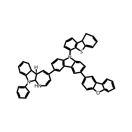 C1=CCC2C(=C1)Sc1c2cccc1-n1c2ccc(C3=C[C@H]4C5CC=CC=C5N(c5ccccc5)C4NC=C3)cc2c2cc(-c3ccc4oc5ccccc5c4c3)ccc21